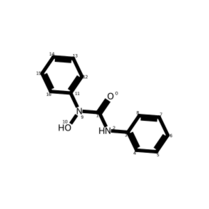 O=C(Nc1ccccc1)N(O)c1ccccc1